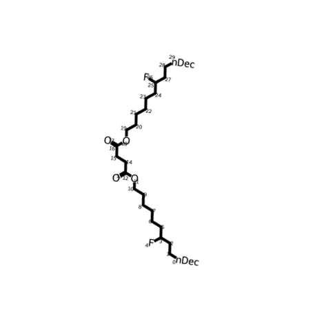 CCCCCCCCCCCCC(F)CCCCCCOC(=O)CCC(=O)OCCCCCCC(F)CCCCCCCCCCCC